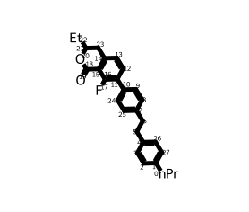 CCCc1ccc(CCc2ccc(-c3ccc4c(c3F)C(=O)OC(CC)C4)cc2)cc1